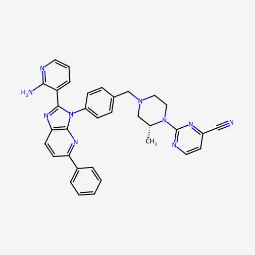 C[C@@H]1CN(Cc2ccc(-n3c(-c4cccnc4N)nc4ccc(-c5ccccc5)nc43)cc2)CCN1c1nccc(C#N)n1